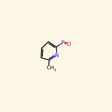 Cc1cccc(P=O)n1